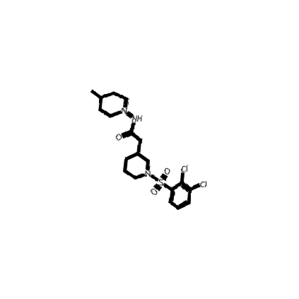 CC1CCN(NC(=O)CC2CCCN(S(=O)(=O)c3cccc(Cl)c3Cl)C2)CC1